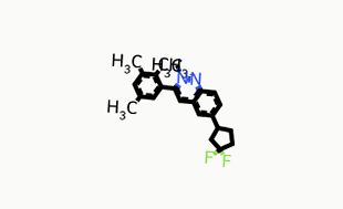 Cc1cc(C)c(C)c(-c2cc3cc(C4CCC(F)(F)C4)ccc3n[n+]2C)c1